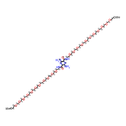 COCCOCCOCCOCCOCCOCCOCCOCCOCCOCCOCCOCCNC(=O)c1nc(N)c(C(=O)NCCOCCOCCOCCOCCOCCOCCOCCOCCOCCOCCOCCOC)nc1N